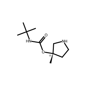 CC(C)(C)NC(=O)O[C@@]1(C)CCNC1